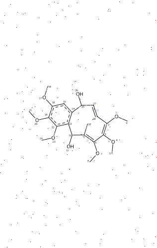 COC1=C(OC)/C(OC)=C(\C)C(O)c2c(cc(OC)c(OC)c2OC)C(O)\C=C\1